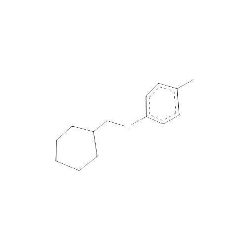 Cc1ccc(OCC2CCCCC2)cc1